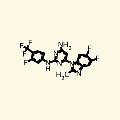 Cc1nc2cc(F)c(F)cc2n1-c1cc(N)nc(Nc2ccc(C(F)(F)F)c(F)c2)n1